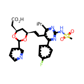 CC(C)c1nc(NS(C)(=O)=O)nc(-c2ccc(F)cc2)c1/C=C/[C@@H]1C[C@H](CC(=O)O)OC(c2cccnc2)O1